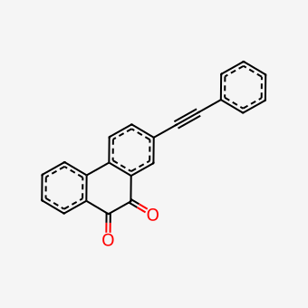 O=C1C(=O)c2cc(C#Cc3ccccc3)ccc2-c2ccccc21